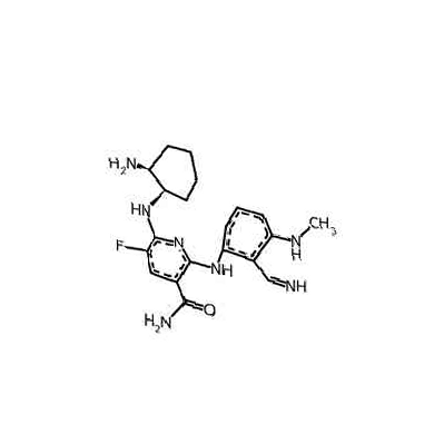 CNc1cccc(Nc2nc(N[C@@H]3CCCC[C@@H]3N)c(F)cc2C(N)=O)c1C=N